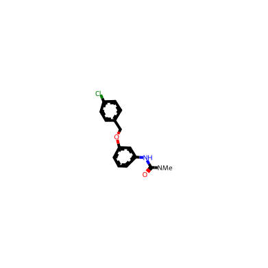 CNC(=O)Nc1cccc(OCc2ccc(Cl)cc2)c1